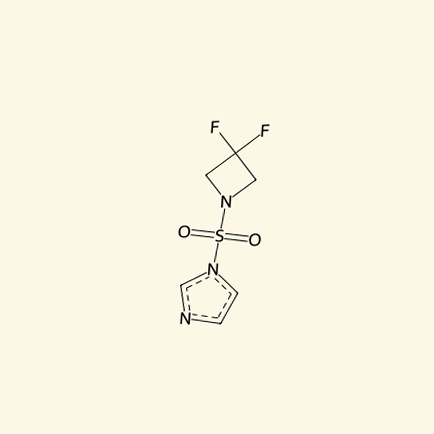 O=S(=O)(N1CC(F)(F)C1)n1ccnc1